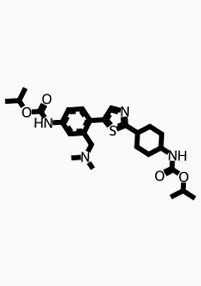 CC(C)OC(=O)Nc1ccc(-c2cnc(C3CCC(NC(=O)OC(C)C)CC3)s2)c(CN(C)C)c1